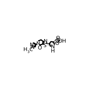 Cn1cc(N2CCc3nc([C@@H]4CNC[C@@H](CS(=O)(=O)O)C4)sc3C2=O)cn1